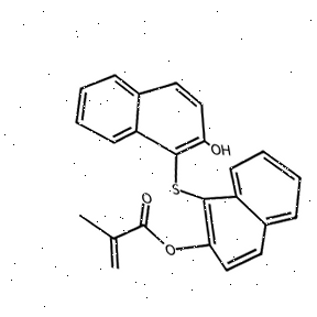 C=C(C)C(=O)Oc1ccc2ccccc2c1Sc1c(O)ccc2ccccc12